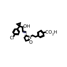 O=C(O)c1ccc(CCN2C(=O)CC[C@@H]2/C=C/[C@@H](O)C2(c3ccc(Cl)cc3)CC2)cc1